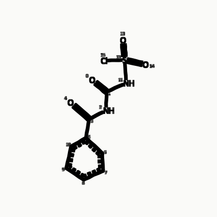 O=C(NC(=O)c1ccccc1)NS(=O)(=O)Cl